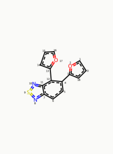 c1coc(-c2ccc3nsnc3c2-c2ccco2)c1